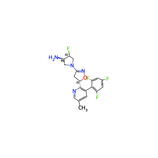 Cc1cnc([C@@H]2CC(N3C[C@@H](N)[C@@H](F)C3)=NO2)c(-c2c(F)cc(F)cc2F)c1